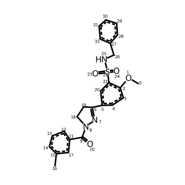 COc1ccc(C2=NN(C(=O)c3cccc(C)c3)CC2)cc1S(=O)(=O)NCc1ccccc1